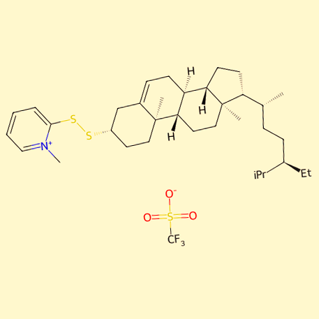 CC[C@H](CC[C@@H](C)[C@H]1CC[C@H]2[C@@H]3CC=C4C[C@@H](SSc5cccc[n+]5C)CC[C@]4(C)[C@H]3CC[C@]12C)C(C)C.O=S(=O)([O-])C(F)(F)F